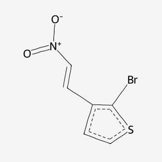 O=[N+]([O-])C=Cc1ccsc1Br